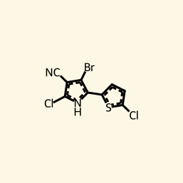 N#Cc1c(Cl)[nH]c(-c2ccc(Cl)s2)c1Br